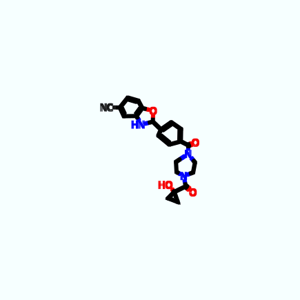 N#Cc1ccc2c(c1)NC(c1ccc(C(=O)N3CCN(C(=O)C4(O)CC4)CC3)cc1)O2